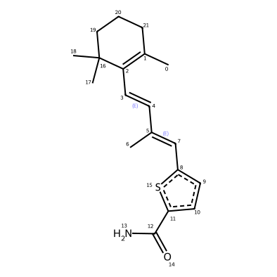 CC1=C(/C=C/C(C)=C/c2ccc(C(N)=O)s2)C(C)(C)CCC1